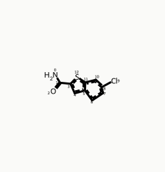 NC(=O)c1cc2ccc(Cl)cc2s1